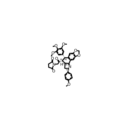 COc1ccc(N2C[C@@H]3C(=N2)c2cc4c(cc2[C@@H](c2cc(OC)c(OC)c(OC)c2)[C@H]3C(=O)CN2C(=O)CCC2=O)OCO4)cc1